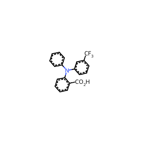 O=C(O)c1ccccc1N(c1ccccc1)c1cccc(C(F)(F)F)c1